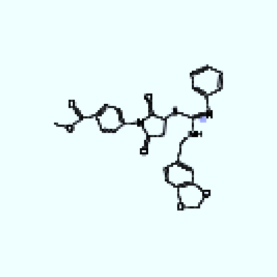 COC(=O)c1ccc(N2C(=O)CC(S/C(=N\c3ccccc3)NCc3ccc4c(c3)OCO4)C2=O)cc1